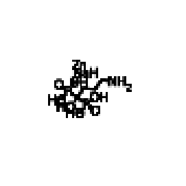 NCCCC(O)(P(=O)(O)O)P(=O)(O)O.[NaH].[Zn]